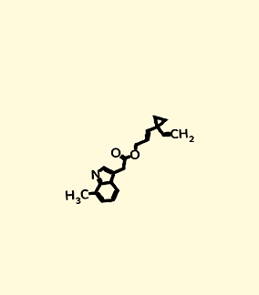 C=CC1(/C=C/COC(=O)CC2=CN=C3C(C)=CC=CC23)CC1